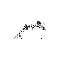 CCCCCC(O[Si](C)(C)C(C)(C)C)c1ccc(CCS(=O)(=O)NCCCCCCC(=O)OCC)cc1